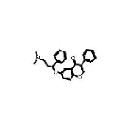 CN(C)CCC(Oc1ccc2occ(-c3ccccc3)c(=O)c2c1)c1ccccc1